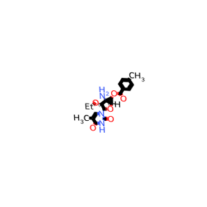 CCO[C@H]1[C@H](n2cc(C)c(=O)[nH]c2=O)O[C@@H]2C(OC(=O)c3ccc(C)cc3)[C@@]21N